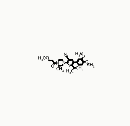 COCCC(=O)N1CCN(c2nc(C(C)C)c(-c3ccc(OC)c(OC)c3)cc2C#N)C[C@H]1C